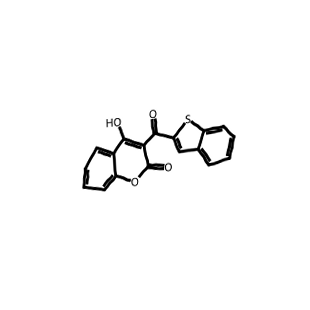 O=C(c1cc2ccccc2s1)c1c(O)c2ccccc2oc1=O